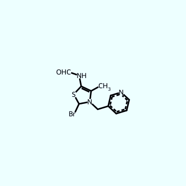 CC1=C(NC=O)SC(Br)N1Cc1cccnc1